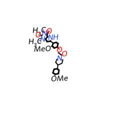 COc1ccc(C2CCN(C(=O)COc3ccc(-c4cc5c([nH]4)c(=O)n(C)c(=O)n5C)c(OC)c3)CC2)cc1